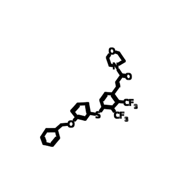 O=C(/C=C/c1ccc(Sc2cccc(OCc3ccccc3)c2)c(C(F)(F)F)c1C(F)(F)F)N1CCOCC1